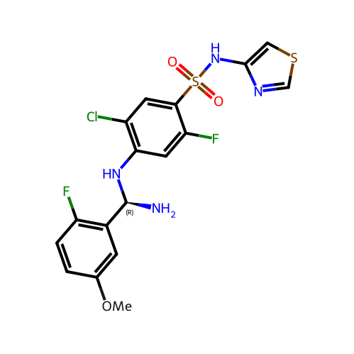 COc1ccc(F)c([C@H](N)Nc2cc(F)c(S(=O)(=O)Nc3cscn3)cc2Cl)c1